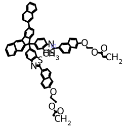 C=CC(=O)OCCOc1ccc2cc(/C(S)=N/c3ccc(C4(c5ccc6nc(-c7ccc8cc(OCCOC(=O)C=C)ccc8c7)sc6c5)c5ccc(-c6ccc7ccccc7c6)cc5-c5cc6ccccc6cc54)cc3C)ccc2c1